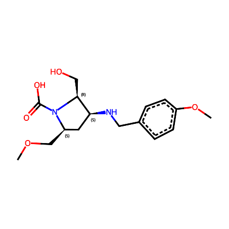 COC[C@@H]1C[C@H](NCc2ccc(OC)cc2)[C@H](CO)N1C(=O)O